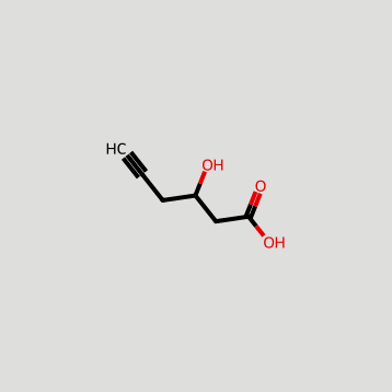 C#CCC(O)CC(=O)O